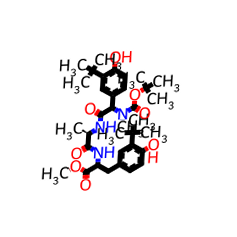 COC(=O)C(Cc1ccc(O)c(C(C)(C)C)c1)NC(=O)[C@H](C)NC(=O)C(c1ccc(O)c(C(C)(C)C)c1)N(C)C(=O)OC(C)(C)C